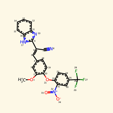 COc1cc(C=C(C#N)c2nc3ccccc3[nH]2)ccc1Oc1ccc(C(F)(F)F)cc1[N+](=O)[O-]